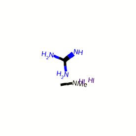 CNC.I.I.N=C(N)N